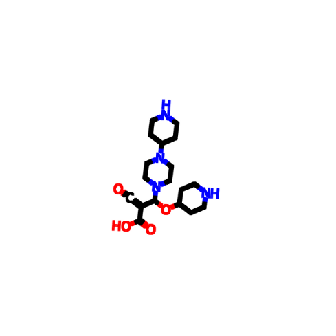 O=C=C(C(=O)O)C(OC1CCNCC1)N1CCN(C2CCNCC2)CC1